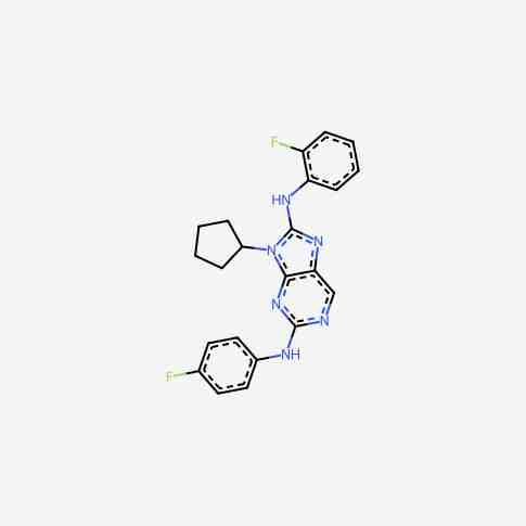 Fc1ccc(Nc2ncc3nc(Nc4ccccc4F)n(C4CCCC4)c3n2)cc1